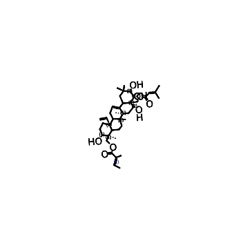 C=C[C@]12CC[C@H](O)[C@](C)(COC(=O)/C(C)=C/C)C1CC[C@]1(C)C2CC=C2C3CC(C)(C)[C@@H](O)[C@H](O)[C@]3(COC(=O)C=C(C)C)[C@H](O)C[C@]21C